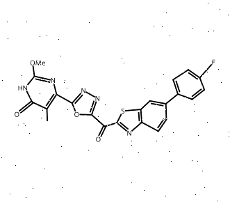 COc1nc(-c2nnc(C(=O)c3nc4ccc(-c5ccc(F)cc5)cc4s3)o2)c(C)c(=O)[nH]1